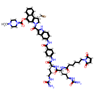 CN1CCN(C(=O)Oc2cc3c(c4ccccc24)[C@H](CBr)CN3C(=O)c2cc3cc(NC(=O)c4ccc(NC(=O)[C@H](CCCNC(N)=O)NC(=O)[C@H](CCCNC(N)=O)NC(=O)CCCCCN5C(=O)C=CC5=O)cc4)ccc3[nH]2)CC1